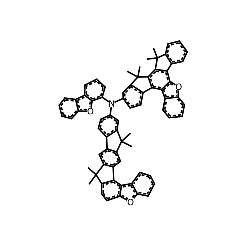 CC1(C)c2cc(N(c3ccc4c(c3)C(C)(C)c3c5c(c6oc7ccccc7c6c3-4)-c3ccccc3C5(C)C)c3cccc4c3oc3ccccc34)ccc2-c2cc3c(cc21)-c1c(ccc2oc4ccccc4c12)C3(C)C